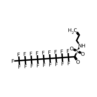 C=CCNS(=O)(=O)C(=O)C(F)(F)C(F)(F)C(F)(F)C(F)(F)C(F)(F)C(F)(F)C(F)(F)C(F)(F)C(F)(F)F